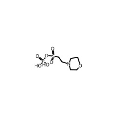 O=P(O)(O)OS(=O)(=O)CCN1CCOCC1